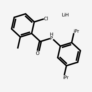 Cc1cccc(Cl)c1C(=O)Pc1cc(C(C)C)ccc1C(C)C.[LiH]